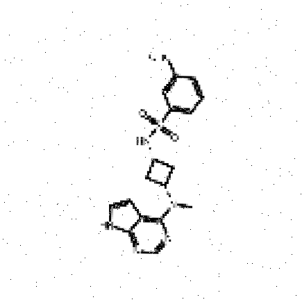 CN(c1ncnc2[nH]ccc12)[C@H]1C[C@@H](NS(=O)(=O)c2cccc(C=O)c2)C1